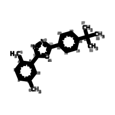 Cc1ccc(C)c(-c2nnc(-c3ccc(C(C)(C)C)cc3)o2)c1